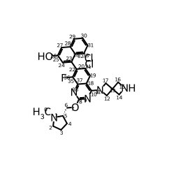 CN1CCC[C@H]1COc1nc(N2CC3(CNC3)C2)c2cc(Cl)c(-c3cc(O)cc4cccc(Cl)c34)c(F)c2n1